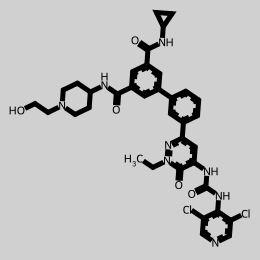 CCn1nc(-c2cccc(-c3cc(C(=O)NC4CC4)cc(C(=O)NC4CCN(CCO)CC4)c3)c2)cc(NC(=O)Nc2c(Cl)cncc2Cl)c1=O